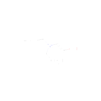 O=C(O)CN(C=CO)CC(=O)O